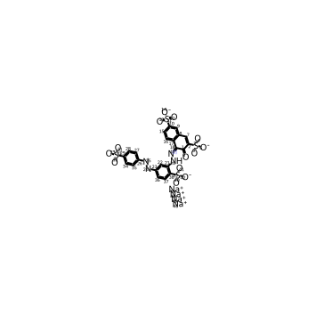 O=C1C(S(=O)(=O)[O-])=Cc2cc(S(=O)(=O)[O-])ccc2/C1=N/Nc1cc(N=Nc2ccc(S(=O)(=O)[O-])cc2)ccc1S(=O)(=O)[O-].[Na+].[Na+].[Na+].[Na+]